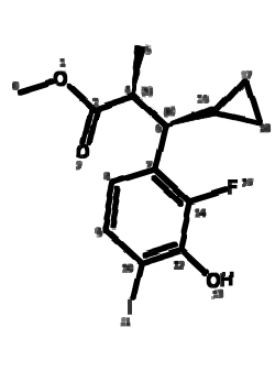 COC(=O)[C@@H](C)[C@H](c1ccc(I)c(O)c1F)C1CC1